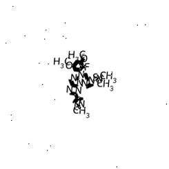 COc1cc(OC)c(F)c(N(Cc2nccn2SN(C)C)c2ncc3ncc(-c4cnn(C)c4)nc3n2)c1